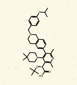 Cc1nc(C)c([C@H](OC(C)(C)C)C(=O)O)c(N2CCC(C)(C)CC2)c1-c1ccc2c(c1)CCN(Cc1ccc(OC(C)C)cc1)C2